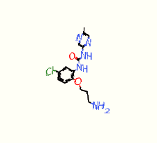 Cc1cnc(NC(=O)Nc2cc(Cl)ccc2OCCCN)cn1